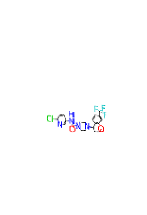 O=C(Nc1ccc(Cl)nc1)N1CCN(C2CCOc3cc(C(F)(F)F)ccc32)CC1